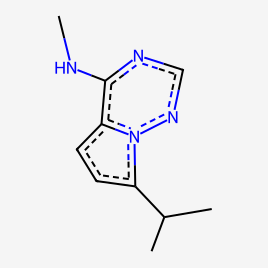 CNc1ncnn2c(C(C)C)ccc12